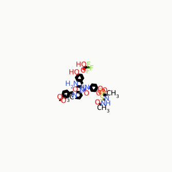 CC(=O)Nc1nc(C)c(S(=O)(=O)Oc2ccc(NC(=O)/[N+](=C3\CCC[N+](C)(Cc4ccc5c(c4)OCO5)C3)[C@@H](Cc3ccc(O)cc3)C(N)=O)cc2)s1.O=C(O)C(F)(F)F